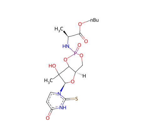 CCCCOC(=O)[C@H](C)NP1(=O)OC[C@H]2O[C@@H](n3ccc(=O)[nH]c3=S)C(C)(O)C2O1